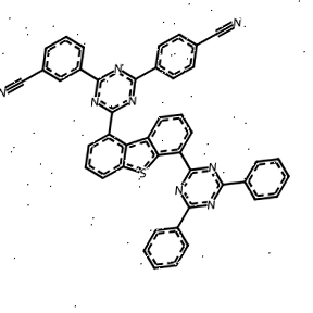 N#Cc1ccc(-c2nc(-c3cccc(C#N)c3)nc(-c3cccc4sc5c(-c6nc(-c7ccccc7)nc(-c7ccccc7)n6)cccc5c34)n2)cc1